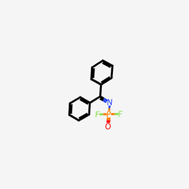 O=P(F)(F)N=C(c1ccccc1)c1ccccc1